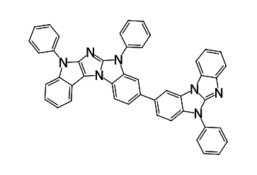 c1ccc(-n2c3ccccc3c3c2nc2n(-c4ccccc4)c4cc(-c5ccc6c(c5)n5c7ccccc7nc5n6-c5ccccc5)ccc4n32)cc1